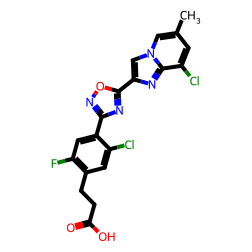 Cc1cc(Cl)c2nc(-c3nc(-c4cc(F)c(CCC(=O)O)cc4Cl)no3)cn2c1